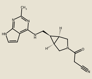 Cc1nc(NC[C@H]2[C@H]3CN(C(=O)CC#N)C[C@@H]23)c2cc[nH]c2n1